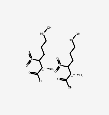 N[C@H](C(=O)O)C(CCCNO)P(=O)=O.N[C@H](C(=O)O)C(CCCNO)P(=O)=O